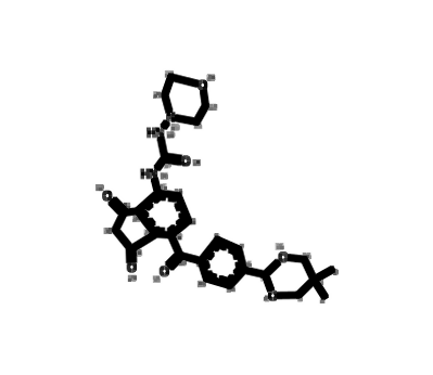 CC1(C)COC(c2ccc(C(=O)c3ccc(NC(=O)NN4CCOCC4)c4c3C(=O)CC4=O)cc2)OC1